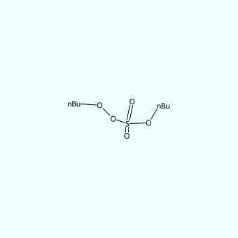 CCCCOOS(=O)(=O)OCCCC